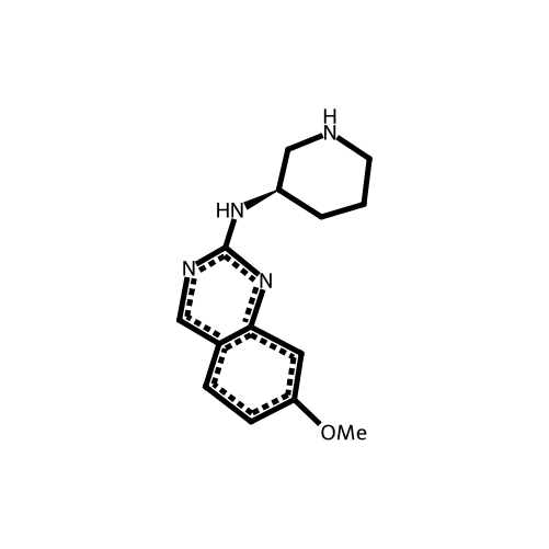 COc1ccc2cnc(N[C@@H]3CCCNC3)nc2c1